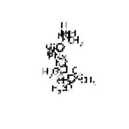 COc1cc(OC)c(Cl)c(-c2cc3cnc(Nc4ccc(C5=NNNN5C)cc4[N+](=O)[O-])nc3n(C)c2=O)c1Cl